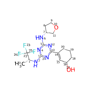 C[C@@H](Nc1nc(N[C@@H]2CCOC2)nc(C2=CC(O)CCC2)n1)C(F)(F)F